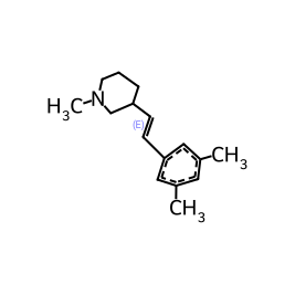 Cc1cc(C)cc(/C=C/C2CCCN(C)C2)c1